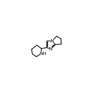 c1c(C2CCCCN2)nc2n1CCC2